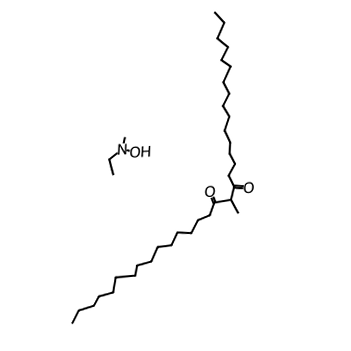 CCCCCCCCCCCCCCCC(=O)C(C)C(=O)CCCCCCCCCCCCCCC.CCN(C)O